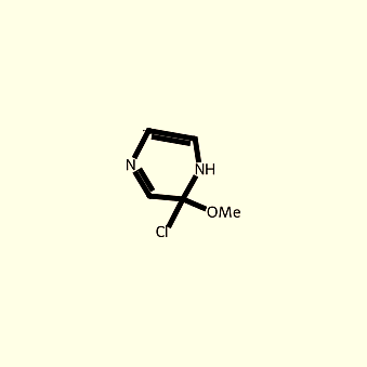 COC1(Cl)C=N[C]=CN1